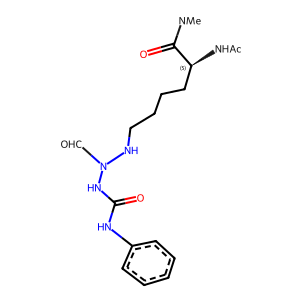 CNC(=O)[C@H](CCCCNN(C=O)NC(=O)Nc1ccccc1)NC(C)=O